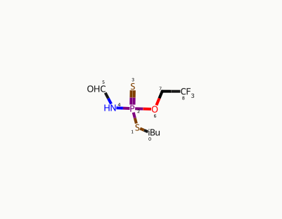 CCC(C)SP(=S)(NC=O)OCC(F)(F)F